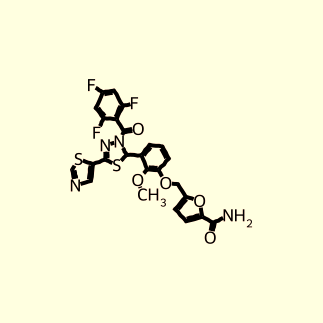 COc1c(OCc2ccc(C(N)=O)o2)cccc1C1SC(c2cncs2)=NN1C(=O)c1c(F)cc(F)cc1F